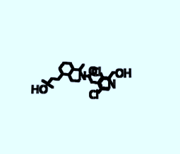 CC1C2CCCC(CCC(C)(C)O)C2CCN1C(=O)Cc1c(Cl)cnc(CO)c1Cl